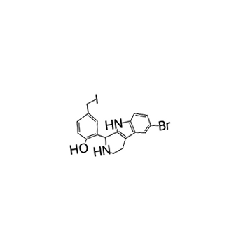 Oc1ccc(CI)cc1C1NCCc2c1[nH]c1ccc(Br)cc21